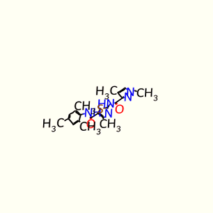 CCn1cc(C)c(C(=O)Nc2nc(C)c(C(=O)Nc3c(C)cc(C)cc3C)s2)n1